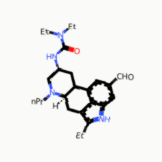 CCCN1C[C@@H](NC(=O)N(CC)CC)CC2c3cc(C=O)cc4[nH]c(CC)c(c34)C[C@H]21